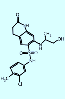 Cc1ccc(NS(=O)(=O)c2cc3c(cc2N[C@@H](C)CO)NC(=O)CC3)cc1Cl